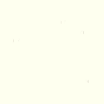 CC(C)=C(c1ccc(C)cc1)c1ccc(O)cc1